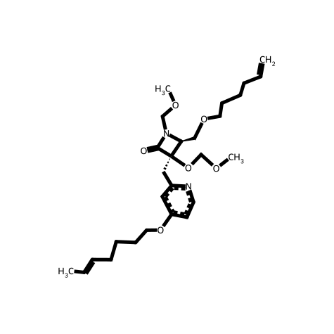 C=CCCCCOC[C@@H]1N(COC)C(=O)[C@]1(Cc1cc(OCCCCC=CC)ccn1)OCOC